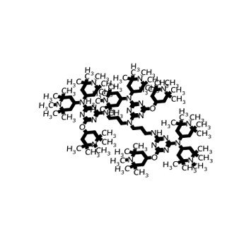 CN1C(C)(C)CC(Oc2nc(NCCCN(CCCNc3nc(OC4CC(C)(C)N(C)C(C)(C)C4)nc(N(C4CC(C)(C)N(C)C(C)(C)C4)C4CC(C)(C)N(C)C(C)(C)C4)n3)c3nc(OC4CC(C)(C)N(C)C(C)(C)C4)nc(N(C4CC(C)(C)N(C)C(C)(C)C4)C4CC(C)(C)N(C)C(C)(C)C4)n3)nc(N(C3CC(C)(C)N(C)C(C)(C)C3)C3CC(C)(C)N(C)C(C)(C)C3)n2)CC1(C)C